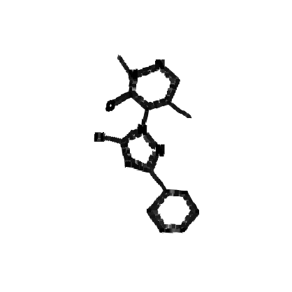 CCc1cc(-c2ccccc2)nn1-c1c(C)cnn(C)c1=O